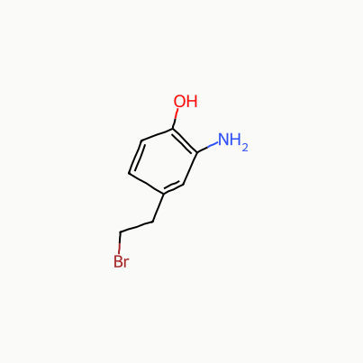 Nc1cc(CCBr)ccc1O